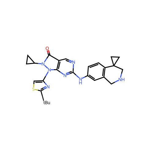 CC(C)(C)c1nc(-n2c3nc(Nc4ccc5c(c4)CNCC54CC4)ncc3c(=O)n2C2CC2)cs1